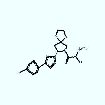 CC(C)C(NC(=O)O)C(=O)N1CC2(C[C@H]1c1ncc(-c3ccc(Br)cc3)[nH]1)OCCO2